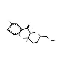 CCOCC1CC[C@@H]2Oc3ccc(Br)cc3C(=O)[C@H]2O1